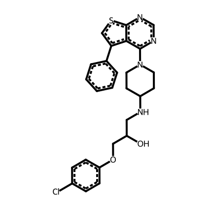 OC(CNC1CCN(c2ncnc3scc(-c4ccccc4)c23)CC1)COc1ccc(Cl)cc1